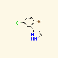 Clc1ccc(Br)c(-c2cc[nH]n2)c1